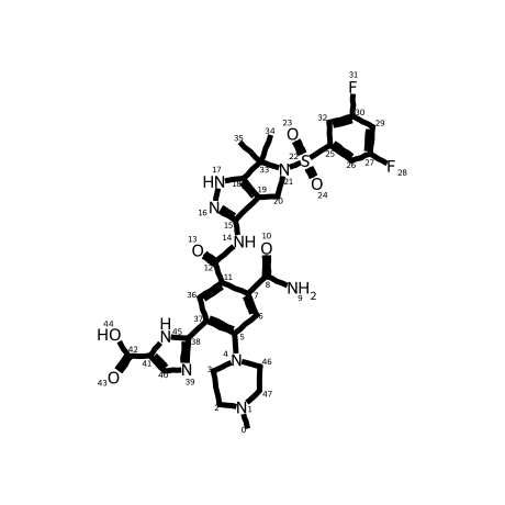 CN1CCN(c2cc(C(N)=O)c(C(=O)Nc3n[nH]c4c3CN(S(=O)(=O)c3cc(F)cc(F)c3)C4(C)C)cc2-c2ncc(C(=O)O)[nH]2)CC1